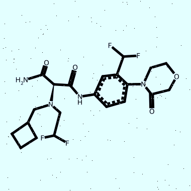 NC(=O)[C@@H](C(=O)Nc1ccc(N2CCOCC2=O)c(C(F)F)c1)N(CC(F)F)CC1CCC1